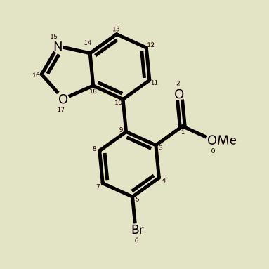 COC(=O)c1cc(Br)ccc1-c1cccc2ncoc12